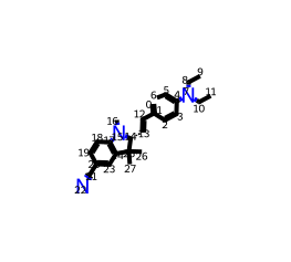 C=C(/C=C\C(=C/C)N(CC)CC)/C=C/[C@H]1N(C)c2ccc(C#N)cc2C1(C)C